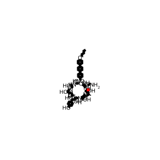 CCCCCOc1ccc(-c2ccc(-c3ccc(C(=O)N[C@H]4C[C@@H](O)C(OCCN)NC(=O)C5[C@@H](O)[C@@H](C)CN5C(=O)C([C@@H](C)O)NC(=O)C([C@H](O)[C@@H](O)c5ccc(O)cc5)NC(=O)C5C[C@@H](O)CN5C(=O)C([C@@H](C)O)NC4=O)cc3)cc2)cc1